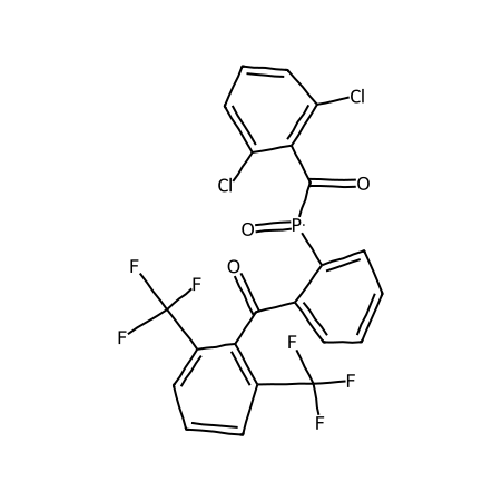 O=C(c1ccccc1[P](=O)C(=O)c1c(Cl)cccc1Cl)c1c(C(F)(F)F)cccc1C(F)(F)F